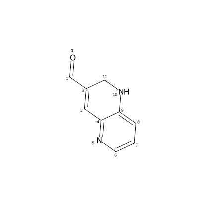 O=CC1=Cc2ncccc2NC1